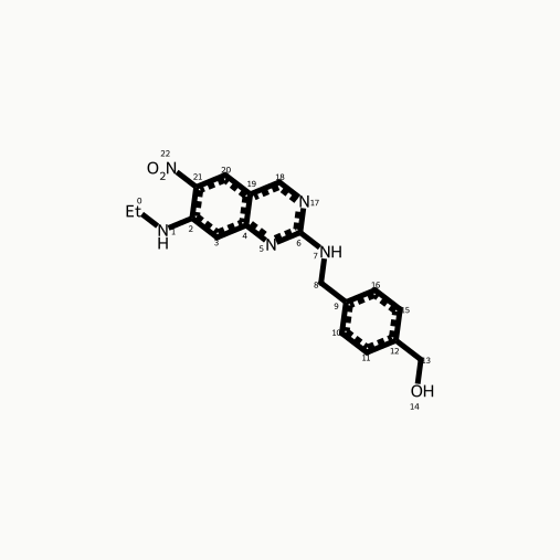 CCNc1cc2nc(NCc3ccc(CO)cc3)ncc2cc1[N+](=O)[O-]